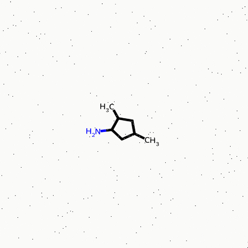 CC1CC(C)C(N)C1